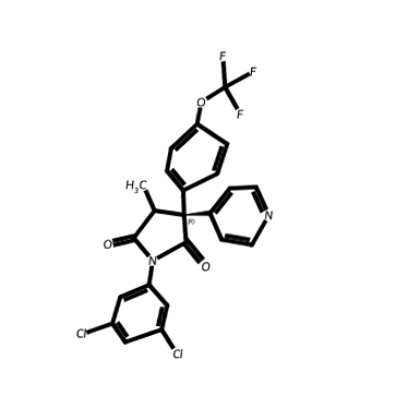 CC1C(=O)N(c2cc(Cl)cc(Cl)c2)C(=O)[C@@]1(c1ccncc1)c1ccc(OC(F)(F)F)cc1